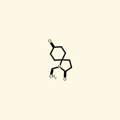 C=CN1C(=O)CCC12CCC(=O)CC2